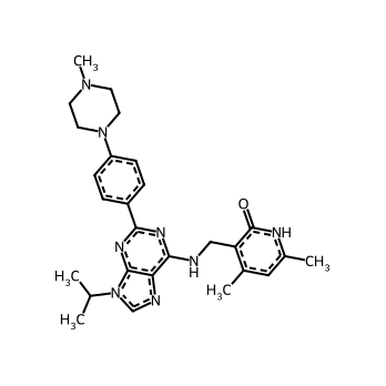 Cc1cc(C)c(CNc2nc(-c3ccc(N4CCN(C)CC4)cc3)nc3c2ncn3C(C)C)c(=O)[nH]1